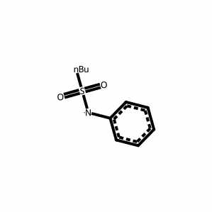 CCCCS(=O)(=O)[N]c1ccccc1